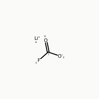 O=C([O-])F.[Li+]